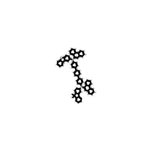 CC1(C)c2ccccc2-c2cc(N(c3ccc(-c4ccc(-c5ccc(N(c6ccc7oc8ccccc8c7c6)c6cc7ccccc7c7ccccc67)cc5)cc4)cc3)c3cc4ccccc4c4ccccc34)ccc21